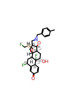 Cc1ccc(CN2C[C@@H]3C[C@H]4[C@@H]5C[C@H](F)C6=CC(=O)C=C[C@]6(C)[C@@]5(F)[C@@H](O)C[C@]4(C)[C@]3(C(=O)SCF)O2)cc1